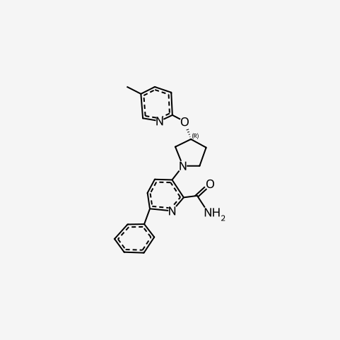 Cc1ccc(O[C@@H]2CCN(c3ccc(-c4ccccc4)nc3C(N)=O)C2)nc1